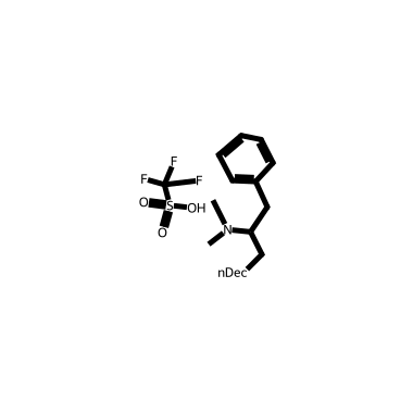 CCCCCCCCCCCC(Cc1ccccc1)N(C)C.O=S(=O)(O)C(F)(F)F